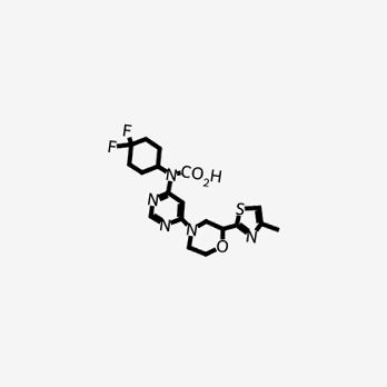 Cc1csc(C2CN(c3cc(N(C(=O)O)C4CCC(F)(F)CC4)ncn3)CCO2)n1